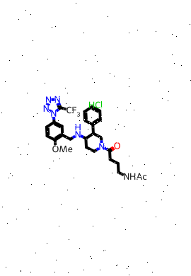 COc1ccc(-n2nnnc2C(F)(F)F)cc1CNC1CCN(C(=O)CCCNC(C)=O)CC1c1ccccc1.Cl